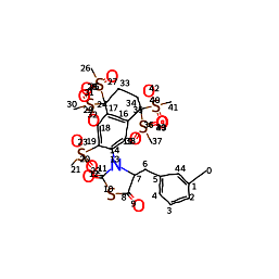 Cc1cccc(CC2C(=O)SC(=O)N2c2cc3c(cc2S(C)(=O)=O)C(S(C)(=O)=O)(S(C)(=O)=O)CCC3(S(C)(=O)=O)S(C)(=O)=O)c1